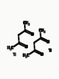 CC(=O)CC(C)=O.CC(=O)CC(C)=O.[Ti].[Ti]